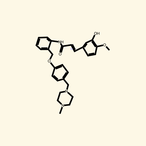 COc1ccc(/C=C/C(=O)Nc2ccccc2COc2ccc(CN3CCN(C)CC3)cc2)cc1O